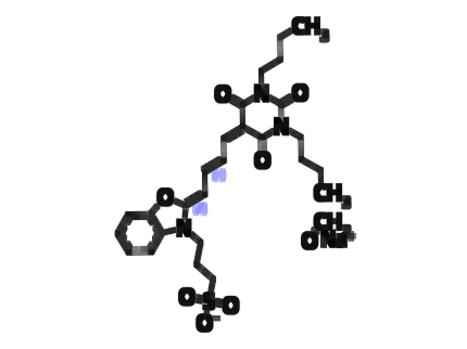 C=O.CCCCN1C(=O)C(=C/C=C/C=C2\Oc3ccccc3N2CCCS(=O)(=O)[O-])C(=O)N(CCCC)C1=O.[Na+]